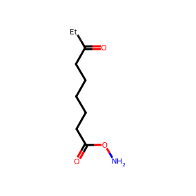 CCC(=O)CCCCCC(=O)ON